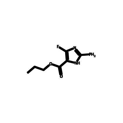 CCCOC(=O)c1[nH]c(P)nc1F